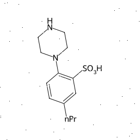 CCCc1ccc(N2CCNCC2)c(S(=O)(=O)O)c1